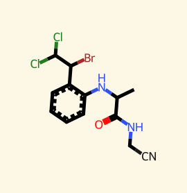 CC(Nc1ccccc1C(Br)C(Cl)Cl)C(=O)NCC#N